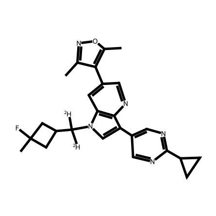 [2H]C([2H])(C1CC(C)(F)C1)n1cc(-c2cnc(C3CC3)nc2)c2ncc(-c3c(C)noc3C)cc21